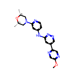 COc1cnc(-c2cnnc(Nc3ccnc(N4C[C@@H](C)O[C@@H](C)C4)c3)c2)cn1